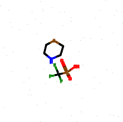 C1CSCCN1.O=S(=O)(O)C(F)(F)F